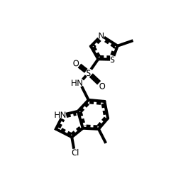 Cc1ncc(S(=O)(=O)Nc2ccc(C)c3c(Cl)c[nH]c23)s1